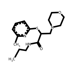 CCCNC(=O)C(CN1CCOCC1)Sc1cccc(C)n1